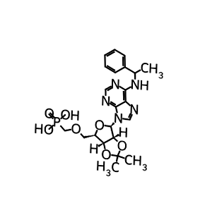 CC(Nc1ncnc2c1ncn2[C@@H]1O[C@H](COCP(=O)(O)O)[C@H]2OC(C)(C)O[C@H]21)c1ccccc1